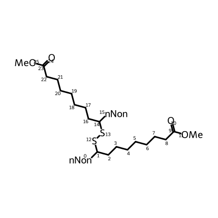 CCCCCCCCCC(CCCCCCCC(=O)OC)SSC(CCCCCCCCC)CCCCCCCC(=O)OC